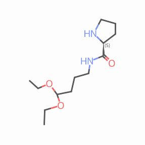 CCOC(CCCNC(=O)[C@@H]1CCCN1)OCC